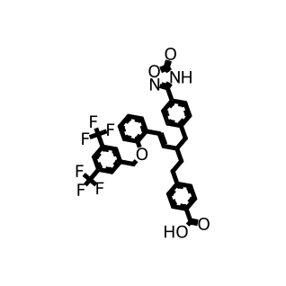 O=C(O)c1ccc(CCC(/C=C/c2ccccc2OCc2cc(C(F)(F)F)cc(C(F)(F)F)c2)Cc2ccc(-c3noc(=O)[nH]3)cc2)cc1